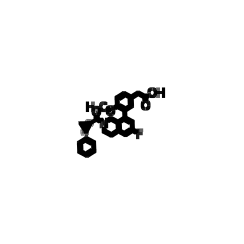 COc1ccc(CC(=O)O)cc1-c1cc(F)cc2c1CN(C(=O)[C@@H]1C[C@H]1c1ccccc1)CC2